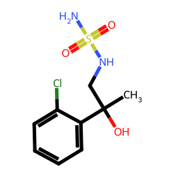 CC(O)(CNS(N)(=O)=O)c1ccccc1Cl